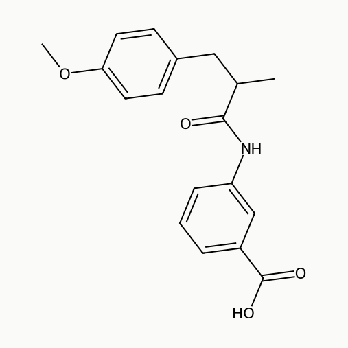 COc1ccc(CC(C)C(=O)Nc2cccc(C(=O)O)c2)cc1